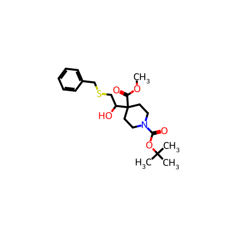 COC(=O)C1(C(O)CSCc2ccccc2)CCN(C(=O)OC(C)(C)C)CC1